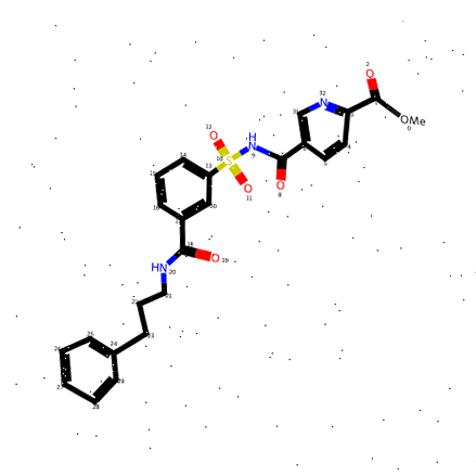 COC(=O)c1ccc(C(=O)NS(=O)(=O)c2cccc(C(=O)NCCCc3ccccc3)c2)cn1